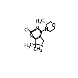 C[C@@H]1COCCN1c1nc(Cl)nc2c1CSC2(C)C